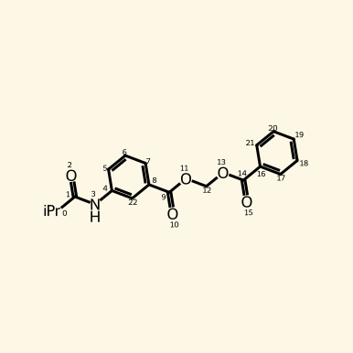 CC(C)C(=O)Nc1cccc(C(=O)OCOC(=O)c2ccccc2)c1